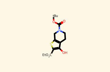 CCOC(=O)c1sc2c(c1O)CCN(C(=O)OC(C)(C)C)C2